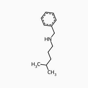 CC(C)CCCNCc1ccccc1